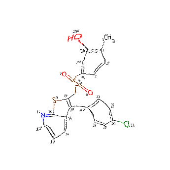 Cc1ccc(S(=O)(=O)c2sc3ncccc3c2-c2ccc(Cl)cc2)cc1O